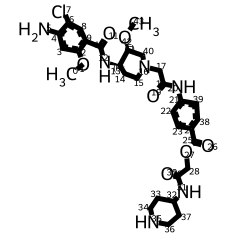 COc1cc(N)c(Cl)cc1C(=O)N[C@@H]1CCN(CC(=O)Nc2ccc(C(=O)OCC(=O)NC3CCNCC3)cc2)C[C@@H]1OC